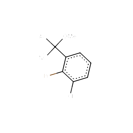 COC(C#N)(C(C)=O)c1cccc(C(F)(F)F)c1Br